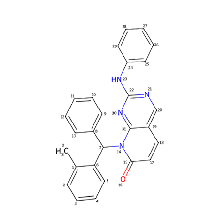 Cc1ccccc1C(c1ccccc1)n1c(=O)ccc2cnc(Nc3ccccc3)nc21